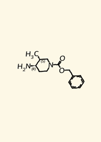 C[C@H]1CN(C(=O)OCc2ccccc2)CC[C@H]1N